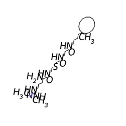 C/N=C(/NC)NCCCC(N)C(=O)NCCSCC(=O)NCCC(=O)NCCCCC1(C)CCCCCCCCCCCC1